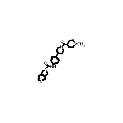 CN1CCC(C(=O)N2CC=C(c3ccc(NC(=O)N4Cc5ccncc5C4)cc3)CC2)CC1